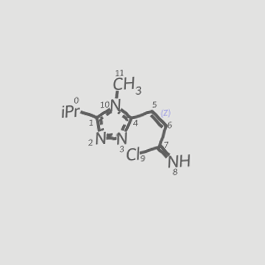 CC(C)c1nnc(/C=C\C(=N)Cl)n1C